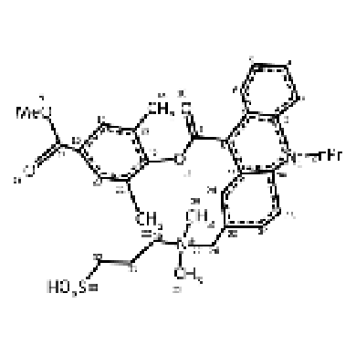 CCC[n+]1c2ccccc2c(C(=O)Oc2c(C)cc(C(=O)OC)cc2C)c2cc(C[N+](C)(C)CCCS(=O)(=O)O)ccc21